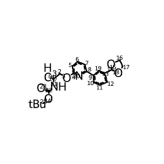 C[C@@H](COc1cccc(-c2cccc(C3OCCO3)c2)n1)NC(=O)OC(C)(C)C